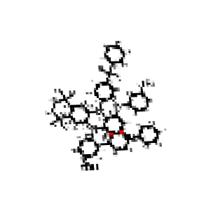 CC(C)(C)c1cccc(N2c3cc(C(C)(C)c4ccccc4)ccc3B3c4cc5c(cc4N(c4ccc(C(C)(C)C)cc4-c4ccc(-c6ccccc6)cc4)c4cc(C(C)(C)C)cc2c43)C(C)(C)CCC5(C)C)c1